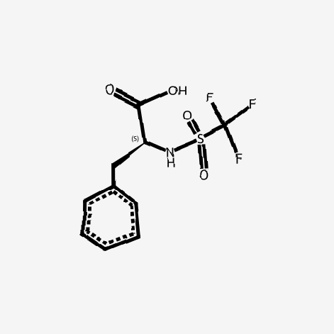 O=C(O)[C@H](Cc1ccccc1)NS(=O)(=O)C(F)(F)F